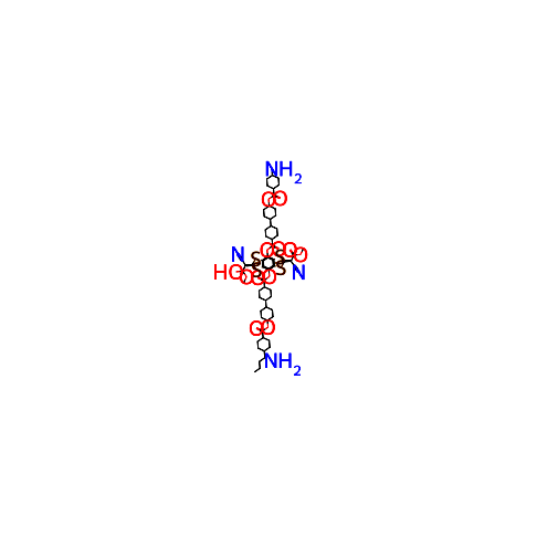 CCCC(N)C1CCC(C(=O)OC2CCC(C3CCC(C(=O)Oc4c5c(c(OC(=O)C6CCC(C7CCC(OC(=O)C8CCC(N)CC8)CC7)CC6)c6c4S/C(=C(/C#N)C(O)OC)S6)S/C(=C(/C#N)C(=O)OC)S5)CC3)CC2)CC1